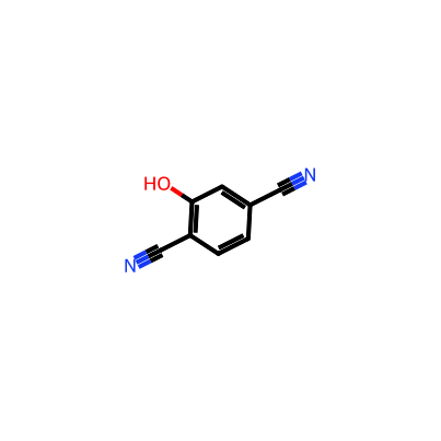 N#Cc1ccc(C#N)c(O)c1